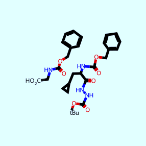 CC(C)(C)OC(=O)NNC(=O)C(CC1CC1)NC(=O)OCc1ccccc1.O=C(O)CNC(=O)OCc1ccccc1